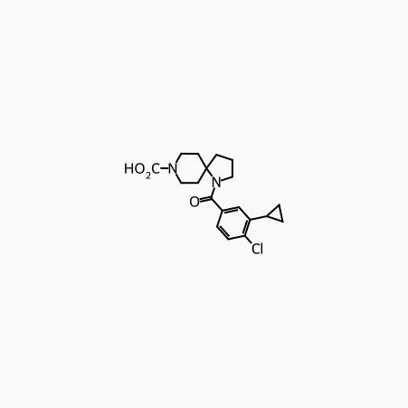 O=C(O)N1CCC2(CCCN2C(=O)c2ccc(Cl)c(C3CC3)c2)CC1